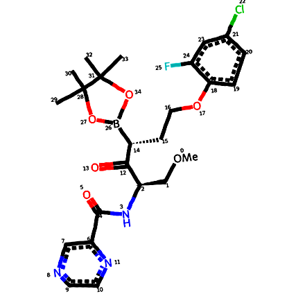 COC[C@@H](NC(=O)c1cnccn1)C(=O)[C@@H](CCOc1ccc(Cl)cc1F)B1OC(C)(C)C(C)(C)O1